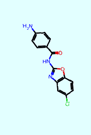 Nc1ccc(C(=O)Nc2nc3cc(Cl)ccc3o2)cc1